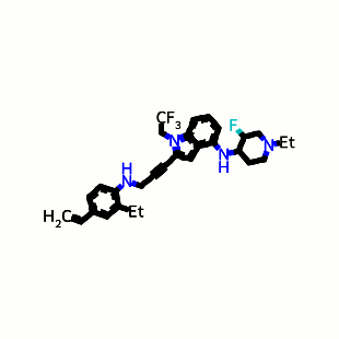 C=Cc1ccc(NCC#Cc2cc3c(NC4CCN(CC)CC4F)cccc3n2CC(F)(F)F)c(CC)c1